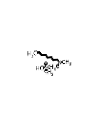 CCCCCCCCN(C)C.CS(=O)(=O)O